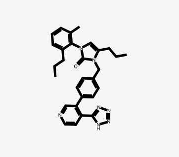 CCCc1cccc(C)c1-n1cc(CCC)n(Cc2ccc(-c3cnccc3-c3nnn[nH]3)cc2)c1=O